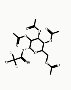 CC(=O)OCC1O[C@H](OC(=N)C(Cl)(Cl)Cl)C(OC(C)=O)[C@@H](OC(C)=O)[C@H]1OC(C)=O